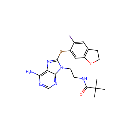 CC(C)(C)C(=O)NCCn1c(Sc2cc3c(cc2I)CCO3)nc2c(N)ncnc21